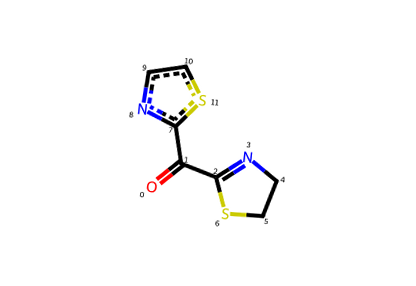 O=C(C1=NCCS1)c1nccs1